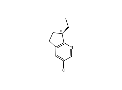 CC[C@@H]1CCc2cc(Cl)cnc21